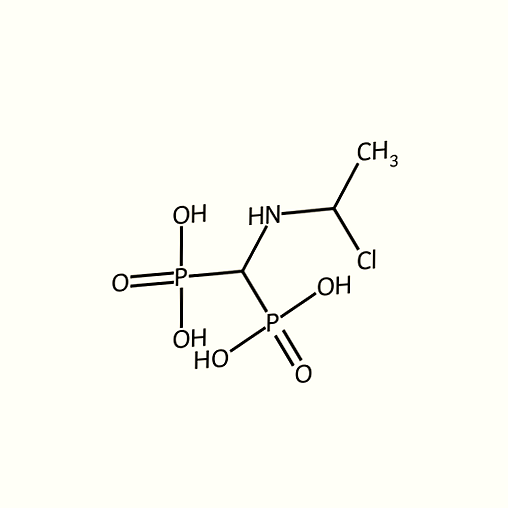 CC(Cl)NC(P(=O)(O)O)P(=O)(O)O